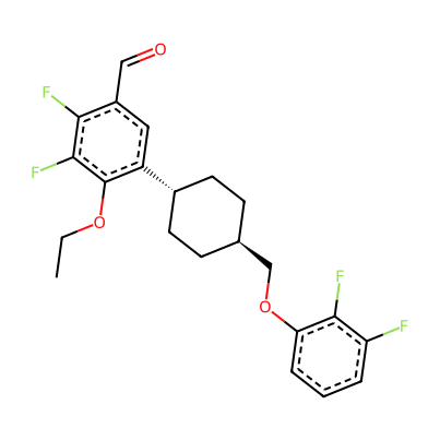 CCOc1c(F)c(F)c(C=O)cc1[C@H]1CC[C@H](COc2cccc(F)c2F)CC1